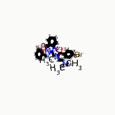 CC(c1nc2ccccc2c(=O)n1Cc1ccccc1)N(CCN(C)C)C(=O)c1ccc(Br)cc1